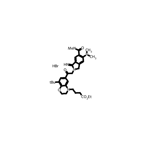 Br.CCOC(=O)CCCN1CCOc2c1cc(C(=O)CN1Cc3cc(N(C)C)c(C(=O)NC)cc3C1=N)cc2C(C)(C)C